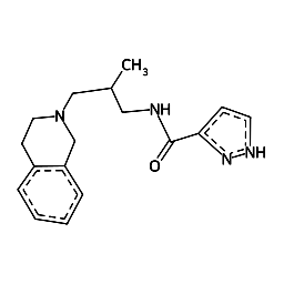 CC(CNC(=O)c1cc[nH]n1)CN1CCc2ccccc2C1